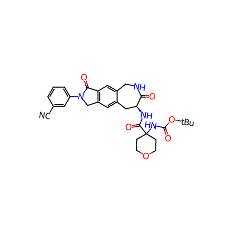 CC(C)(C)OC(=O)NC1(C(=O)N[C@H]2Cc3cc4c(cc3CNC2=O)C(=O)N(c2cccc(C#N)c2)C4)CCOCC1